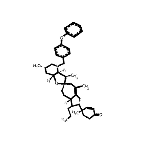 CCCC1[C@@H]2CC[C@@]3(CC(C)=C2C[C@@H]1[C@]1(C)C=CC(=O)CC1)O[C@@H]1C[C@H](C)CN(Cc2ccc(Oc4ccccc4)cc2)[C@H]1[C@H]3C